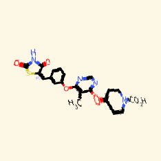 Cc1c(Oc2cccc(/C=C3/SC(=O)NC3=O)c2)ncnc1OC1CCN(C(=O)O)CC1